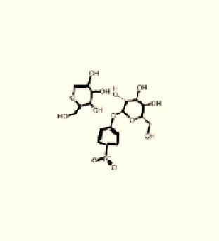 O=[N+]([O-])c1ccc(O[C@@H]2O[C@H](CO)[C@H](O)[C@H](O)[C@H]2O)cc1.OCC1OC=C(O)C(O)C1O